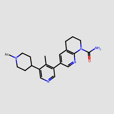 CC(=O)N1CCC(c2cncc(-c3cnc4c(c3)CCCN4C(N)=O)c2C)CC1